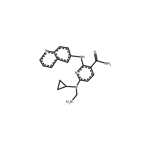 NCN(c1ccc(C(N)=O)c(Nc2ccc3ncccc3c2)n1)C1CC1